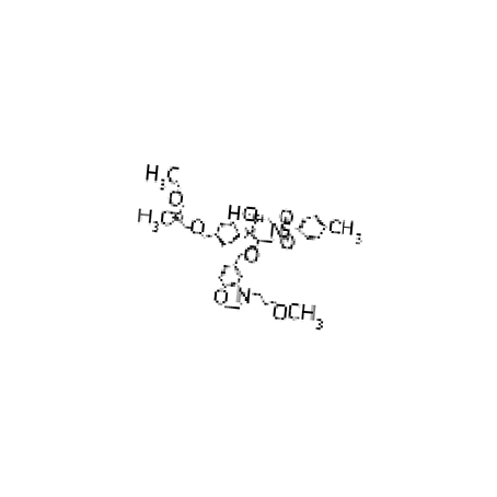 CCOC[C@H](C)COCc1ccc([C@H]2C(OCc3ccc4c(c3)N(CCCOC)CCO4)CN(S(=O)(=O)c3ccc(C)cc3)C[C@H]2O)cc1